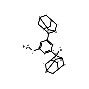 COc1cc(C2C3CC4CC(C3)CC2C4)cc(C2(O)C3CC4CC(C3)CC2C4)c1